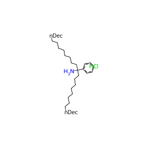 CCCCCCCCCCCCCCCCCCC(N)(CCCCCCCCCCCCCCCCCC)c1ccccc1.Cl